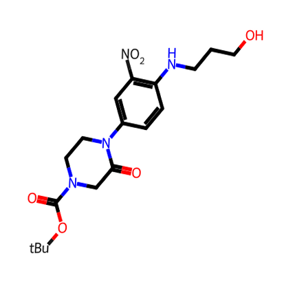 CC(C)(C)OC(=O)N1CCN(c2ccc(NCCCO)c([N+](=O)[O-])c2)C(=O)C1